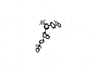 N#Cc1cc(-c2ccc(-c3ccccn3)cc2)cc(-c2ccc(-c3ccc(-c4nc5ccccc5s4)cc3)c3ccccc23)c1